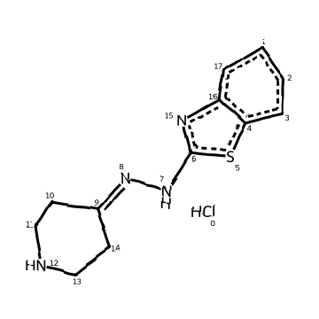 Cl.c1ccc2sc(NN=C3CCNCC3)nc2c1